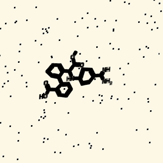 COC(=O)C(Nc1ccc(C(=N)N)cc1)c1ccccc1-c1ccccc1C(=O)O